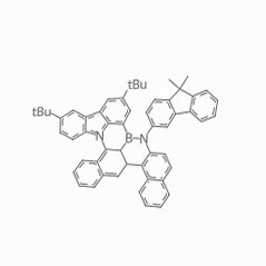 CC(C)(C)c1ccc2c(c1)c1cc(C(C)(C)C)cc3c1n2C1=c2ccccc2=CC2c4c(ccc5ccccc45)N(c4ccc5c(c4)-c4ccccc4C5(C)C)B3C12